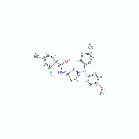 CCOc1ccc(C(c2ccc(C#N)cc2)N2CCC(NC(=O)c3ccc(C#N)cc3F)C2)cc1